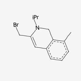 Cc1cccc2c1CN(C(C)C)C(CBr)=C2